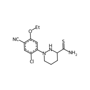 CCOc1cc(N2CCCC(C(N)=S)N2)c(Cl)cc1C#N